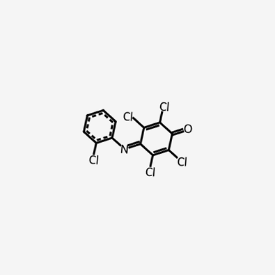 O=C1C(Cl)=C(Cl)C(=Nc2ccccc2Cl)C(Cl)=C1Cl